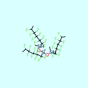 CC(F)C(F)(F)C(F)(F)C(F)(F)C(F)(F)[SiH](C)O[Si](C)(O[SiH](C)C(F)(F)C(F)(F)C(F)(F)C(F)(F)C(C)F)C(F)(F)C(F)(F)C(F)(F)C(F)(F)C(C)F